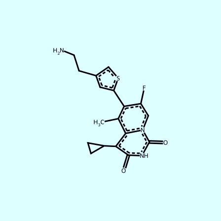 Cc1c(-c2cc(CCN)cs2)c(F)cn2c(=O)[nH]c(=O)c(C3CC3)c12